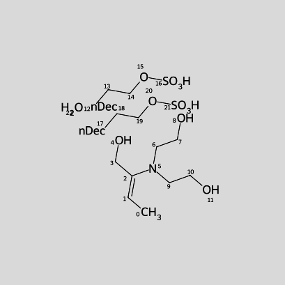 CC=C(CO)N(CCO)CCO.CCCCCCCCCCCCOS(=O)(=O)O.CCCCCCCCCCCCOS(=O)(=O)O.O